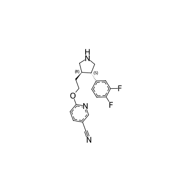 N#Cc1ccc(OCC[C@H]2CNC[C@@H]2c2ccc(F)c(F)c2)nc1